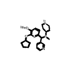 COc1ccc(C(c2cccnc2)N(C)C2CCNCC2)nc1OC1CCCC1